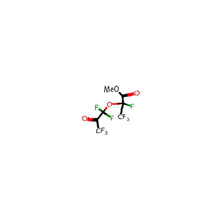 COC(=O)C(F)(OC(F)(F)C(=O)C(F)(F)F)C(F)(F)F